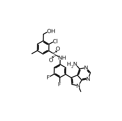 Cc1cc(CO)c(Cl)c(S(=O)(=O)Nc2cc(F)c(F)c(-c3cn(C)c4ncnc(N)c34)c2)c1